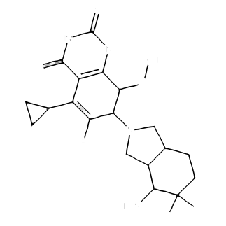 COC1c2[nH]c(=O)[nH]c(=O)c2C(C2CC2)=C(F)C1N1CC2CCC(F)(F)C(N)C2C1